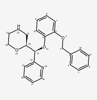 c1ccc(COc2ccccc2O[C@@H](c2ccccn2)[C@@H]2CNCCO2)cc1